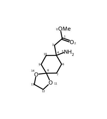 COC(=O)CC1(N)CCC2(CC1)OCCO2